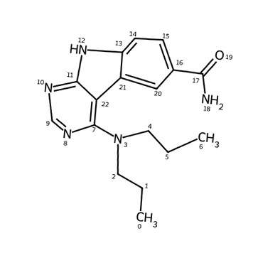 CCCN(CCC)c1ncnc2[nH]c3ccc(C(N)=O)cc3c12